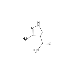 NC(=O)C1CNN=C1N